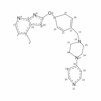 Cc1ccnc2nc(OC3C=CC(CN4CCN(c5ccncc5)CC4)=CC3)sc12